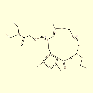 CCCC1C/C=C/CC/C(C)=C/C(=N/OCC(=O)N(CC)CC)Cc2cc(C)cc(C)c2C(=O)O1